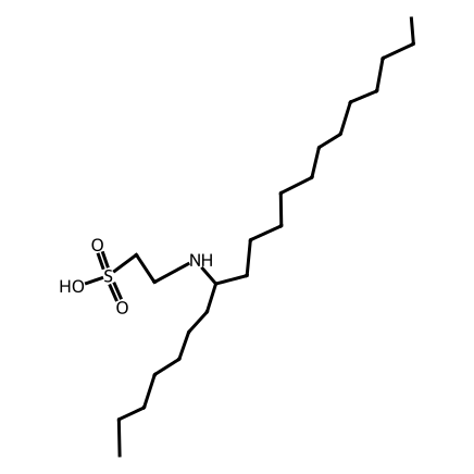 CCCCCCCCCCCCC(CCCCCCC)NCCS(=O)(=O)O